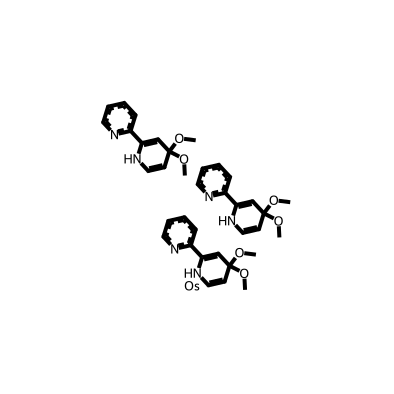 COC1(OC)C=CNC(c2ccccn2)=C1.COC1(OC)C=CNC(c2ccccn2)=C1.COC1(OC)C=CNC(c2ccccn2)=C1.[Os]